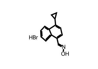 Br.ON=Cc1ccc(C2CC2)c2ccccc12